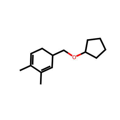 CC1=CCC(COC2CCCC2)C=C1C